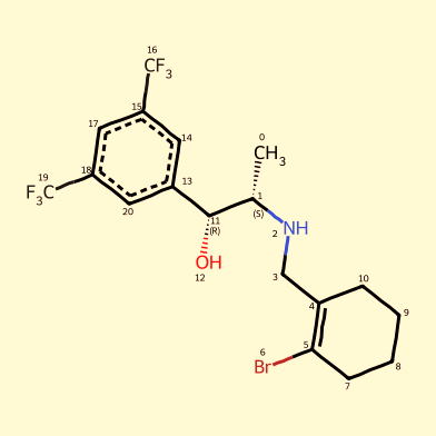 C[C@H](NCC1=C(Br)CCCC1)[C@H](O)c1cc(C(F)(F)F)cc(C(F)(F)F)c1